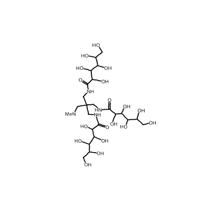 CNCC(CNC(=O)C(O)C(O)C(O)C(O)CO)(CNC(=O)C(O)C(O)C(O)C(O)CO)CNC(=O)C(O)C(O)C(O)C(O)CO